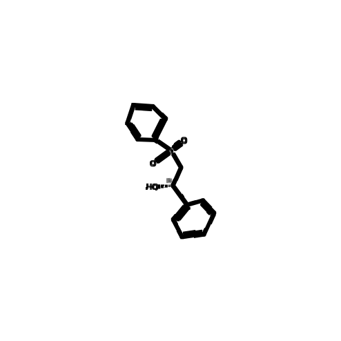 O=S(=O)(C[C@@H](O)c1ccccc1)c1ccccc1